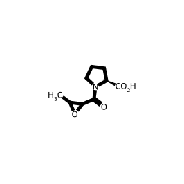 CC1OC1C(=O)N1CCC[C@H]1C(=O)O